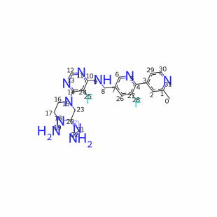 Cc1cc(-c2ncc(CNc3ncnc(N4CCN(N)/C(=N\N)C4)c3F)cc2F)ccn1